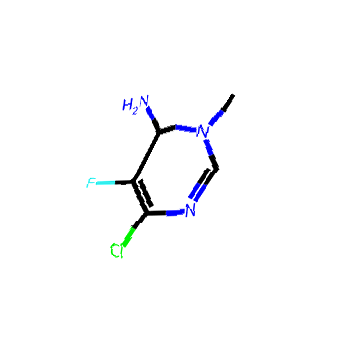 CN1C=NC(Cl)=C(F)C1N